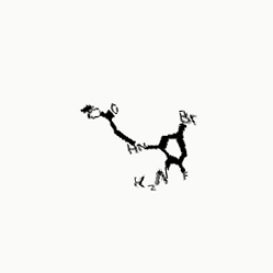 COC(=O)CCNc1cc(Br)cc(F)c1N